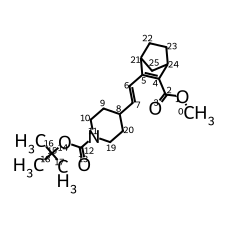 COC(=O)C1=C(/C=C/C2CCN(C(=O)OC(C)(C)C)CC2)C2CCC1C2